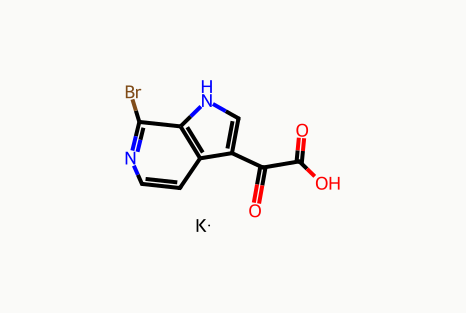 O=C(O)C(=O)c1c[nH]c2c(Br)nccc12.[K]